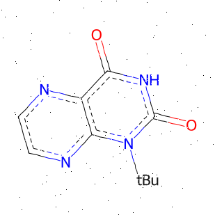 CC(C)(C)n1c(=O)[nH]c(=O)c2nccnc21